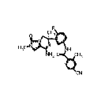 Cc1cc(C#N)cnc1C(=O)Nc1ccc(F)c([C@]2(C)Cn3c(cn(C)c3=O)C(N)=N2)c1